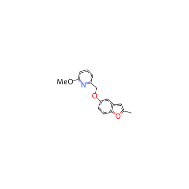 COc1cccc(COc2ccc3oc(C)cc3c2)n1